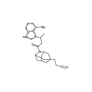 CCC(C)c1cccc2[nH]cc(C(C)CC(=O)N3C4CC5CC3CC(CCC(=O)O)(C5)C4)c12